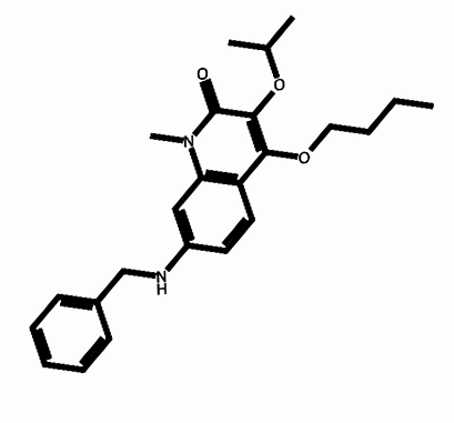 CCCCOc1c(OC(C)C)c(=O)n(C)c2cc(NCc3ccccc3)ccc12